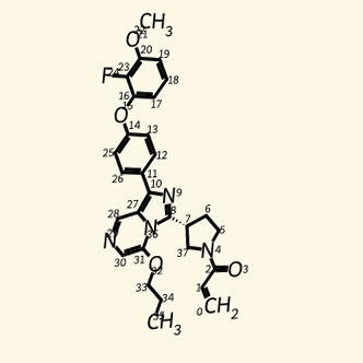 C=CC(=O)N1CC[C@@H](c2nc(-c3ccc(Oc4cccc(OC)c4F)cc3)c3cncc(OCCC)n23)C1